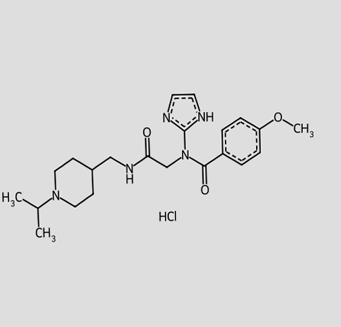 COc1ccc(C(=O)N(CC(=O)NCC2CCN(C(C)C)CC2)c2ncc[nH]2)cc1.Cl